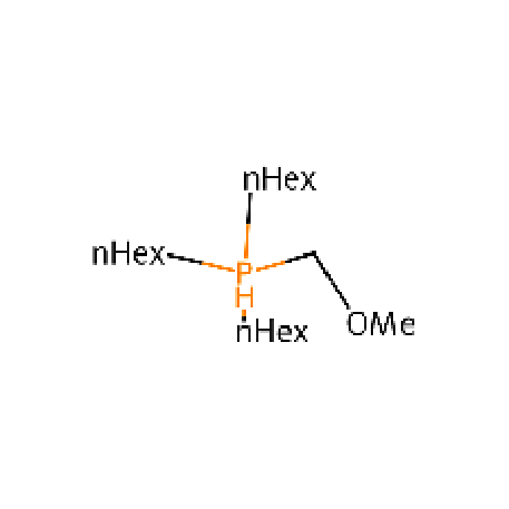 CCCCCC[PH](CCCCCC)(CCCCCC)COC